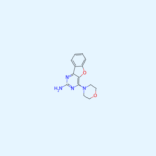 Nc1nc(N2CCOCC2)c2oc3ccccc3c2n1